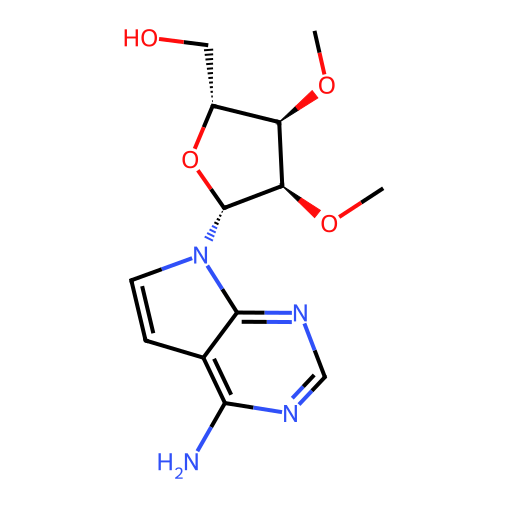 CO[C@@H]1[C@H](OC)[C@@H](CO)O[C@H]1n1ccc2c(N)ncnc21